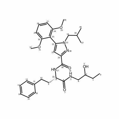 CCC(O)CNC(=O)[C@H](CCc1ccccc1)NC(=O)c1cc(-c2c(OC)cccc2OC)n(CC(C)C)n1